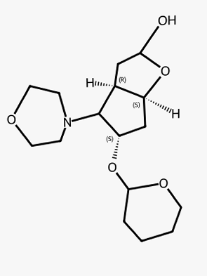 OC1C[C@@H]2C(N3CCOCC3)[C@@H](OC3CCCCO3)C[C@@H]2O1